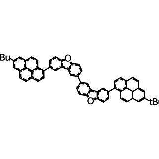 CC(C)(C)C1=CC2C=Cc3c(-c4ccc5oc6ccc(-c7ccc8oc9ccc(-c%10ccc%11ccc%12cc(C(C)(C)C)cc%13ccc%10c%11c%12%13)cc9c8c7)cc6c5c4)ccc4c3C2C(=C1)C=C4